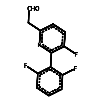 O=CCc1ccc(F)c(-c2c(F)cccc2F)n1